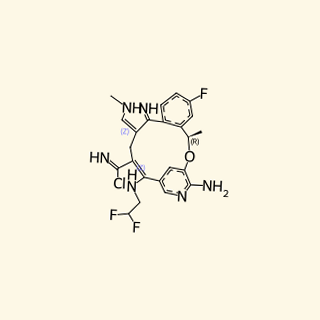 CN/C=C1/C/C(C(=N)Cl)=C(/NCC(F)F)c2cnc(N)c(c2)O[C@H](C)c2cc(F)ccc2C1=N